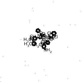 CN(C)C1(Cc2ccccc2Cl)CCC(N)CC1.Cc1ccccc1CC1(N(C)C)CCC(c2ccc(C(N)=O)c(Oc3ccccc3)n2)CC1.Cc1onc(-c2c(Cl)cccc2Cl)c1C(=O)O